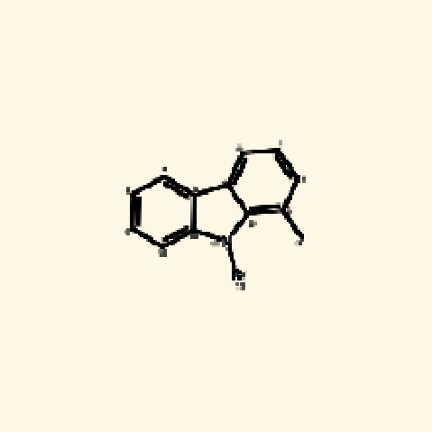 Cc1cccc2c3ccccc3n(Br)c12